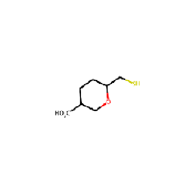 O=C(O)C1CCC(CS)OC1